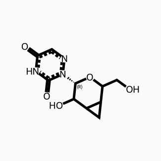 O=c1cnn([C@@H]2OC(CO)C3CC3C2O)c(=O)[nH]1